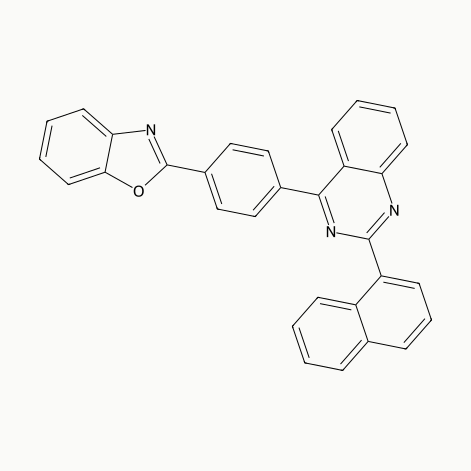 c1ccc2c(-c3nc(-c4ccc(-c5nc6ccccc6o5)cc4)c4ccccc4n3)cccc2c1